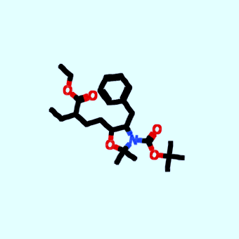 CCOC(=O)C(CC)CCC1OC(C)(C)N(C(=O)OC(C)(C)C)C1Cc1ccccc1